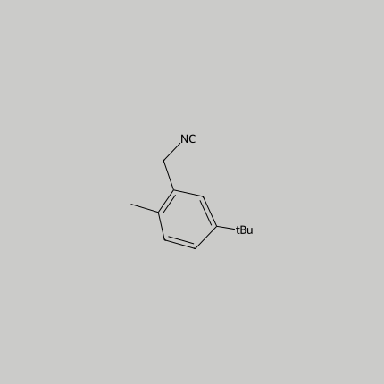 [C-]#[N+]Cc1cc(C(C)(C)C)ccc1C